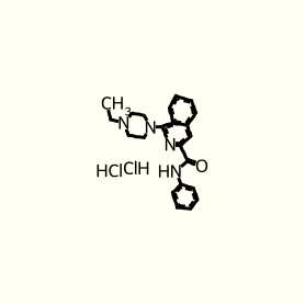 CCN1CCN(c2nc(C(=O)Nc3ccccc3)cc3ccccc23)CC1.Cl.Cl